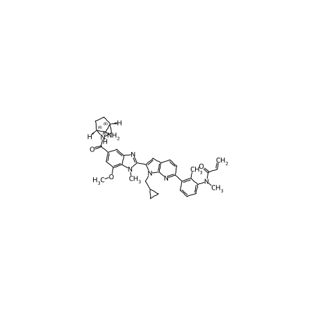 C=CC(=O)N(C)c1cccc(-c2ccc3cc(-c4nc5cc(C(=O)N6C[C@H]7CC[C@@H]6[C@@H]7N)cc(OC)c5n4C)n(CC4CC4)c3n2)c1C